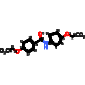 O=C(O)COc1ccc(NC(=O)c2ccc(OCC(=O)O)cc2)cc1